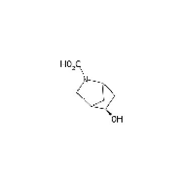 O=C(O)N1CC2CC1C[C@H]2O